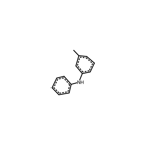 Cc1cccc(Nc2cc[c]cc2)c1